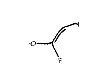 [O]C(F)=CI